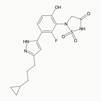 O=C1CN(c2c(O)ccc(-c3cc(CCCC4CC4)n[nH]3)c2F)S(=O)(=O)N1